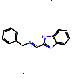 C(=N\Cc1ccccc1)/c1nc2ccccc2[nH]1